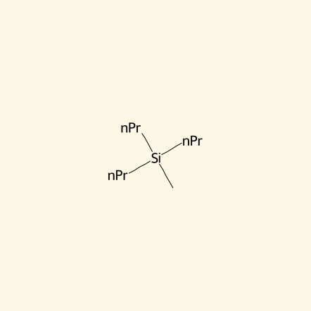 CCC[Si](C)(CCC)CCC